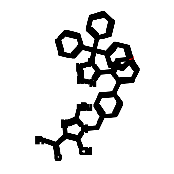 CCCCc1nc(C(=O)C(C)C)c(C#N)n1Cc1ccc(-c2ccccc2-c2nnnn2C(c2ccccc2)(c2ccccc2)c2ccccc2)cc1